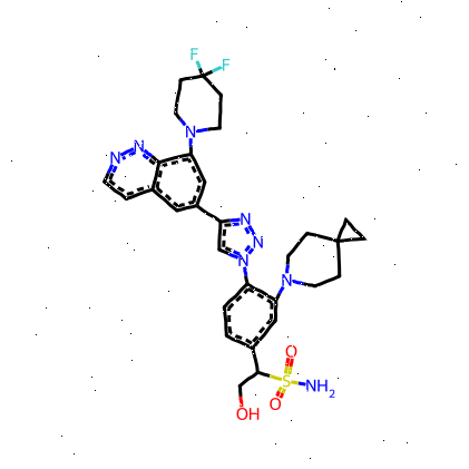 NS(=O)(=O)C(CO)c1ccc(-n2cc(-c3cc(N4CCC(F)(F)CC4)c4nnccc4c3)nn2)c(N2CCC3(CC2)CC3)c1